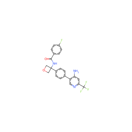 Nc1cc(C(F)(F)F)ncc1-c1ccc(C2(NC(=O)c3ccc(F)cc3)COC2)cc1